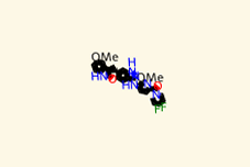 COc1ccc2c(c1)[C@]1(C[C@H]1c1ccc3c(Nc4ccc(C(=O)N5CCC(F)(F)CC5)nc4OC)n[nH]c3c1)C(=O)N2